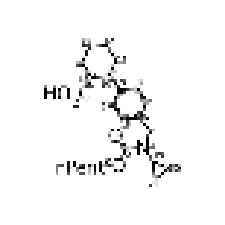 CCCCCOC(=O)N(Cc1ccc([C@@H]2CCCC[C@@H]2C(=O)O)cc1)C1CC1